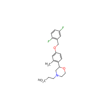 Cc1cc(OCc2cc(F)ccc2F)ccc1C1CN(CCC(=O)O)CCO1